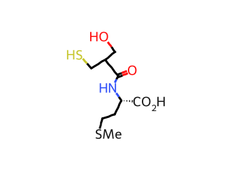 CSCC[C@H](NC(=O)C(CO)CS)C(=O)O